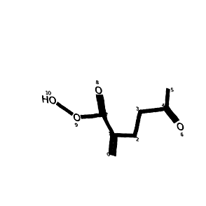 C=C(CCC(C)=O)C(=O)OO